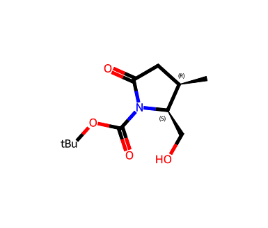 C[C@@H]1CC(=O)N(C(=O)OC(C)(C)C)[C@@H]1CO